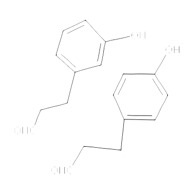 O=CCCc1ccc(O)cc1.O=CCCc1cccc(O)c1